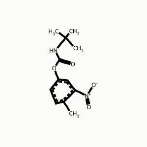 Cc1ccc(OC(=O)NC(C)(C)C)cc1[N+](=O)[O-]